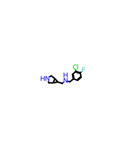 Fc1ccc(CNCC2C3CNCC23)cc1Cl